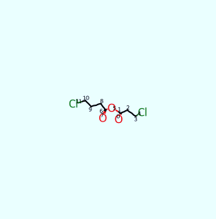 O=C(CCCl)OC(=O)CCCCl